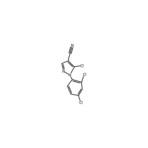 N#Cc1cnn(-c2ccc(Cl)cc2Cl)c1Cl